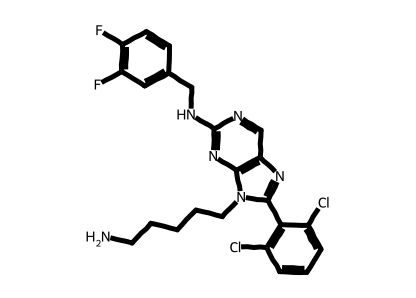 NCCCCCn1c(-c2c(Cl)cccc2Cl)nc2cnc(NCc3ccc(F)c(F)c3)nc21